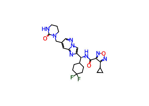 O=C(N[C@H](c1cn2ncc(CN3CCCNC3=O)cc2n1)C1CCC(F)(F)CC1)c1nonc1C1CC1